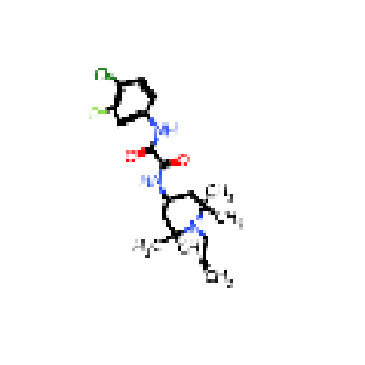 C=CCN1C(C)(C)CC(NC(=O)C(=O)Nc2ccc(Cl)c(F)c2)CC1(C)C